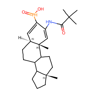 CC(C)(C)C(=O)NC1=C[C@]2(C)C3CC[C@]4(C)CCCC4C3CC[C@H]2C=C1[PH](=O)O